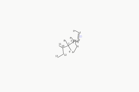 C/C=C\[PH](C)(CC)C(C)(C)C(C)CC